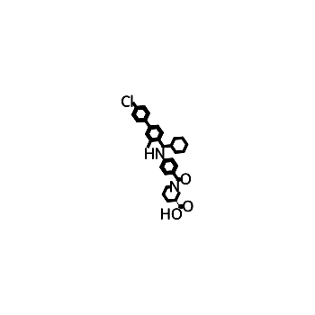 Cc1cc(-c2ccc(Cl)cc2)ccc1C(Nc1ccc(C(=O)N2CCC[C@@H](C(=O)O)C2)cc1)C1CCCCC1